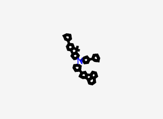 CC1(C)c2cc(-c3ccccc3)ccc2-c2ccc(N(c3ccc(-c4ccccc4)cc3)c3cccc(-c4ccc5c(c4)-c4cccc6cccc-5c46)c3)cc21